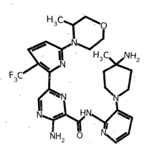 CC1COCCN1c1ccc(C(F)(F)F)c(-c2cnc(N)c(C(=O)Nc3ncccc3N3CCC(C)(N)CC3)n2)n1